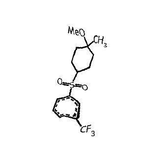 COC1(C)CCC(S(=O)(=O)c2cccc(C(F)(F)F)c2)CC1